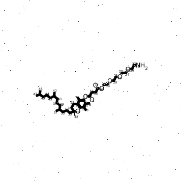 Cc1c(C)c2c(c(C)c1OC(=O)CCC(=O)OCCOCCOCCOCCN)CC[C@@](C)(CCCC(C)CCCC(C)CCCC(C)C)O2